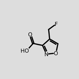 O=C(O)c1nocc1CF